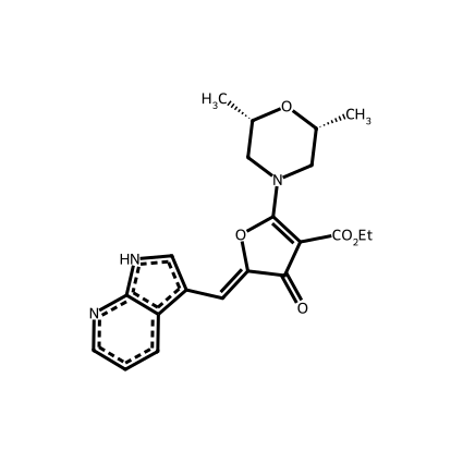 CCOC(=O)C1=C(N2C[C@@H](C)O[C@@H](C)C2)O/C(=C\c2c[nH]c3ncccc23)C1=O